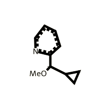 CO[C](c1ccccn1)C1CC1